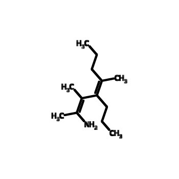 CCC/C(C)=C(CCC)\C(C)=C(\C)N